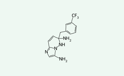 Nc1cnc2n1NC(N)(Cc1cccc(C(F)(F)F)c1)C=C2